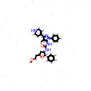 COCCC1C[C@@H](NC(=O)Nc2c(C)c(C3=CCNCC3)nn2-c2ccccc2)[C@H](c2ccccc2)O1